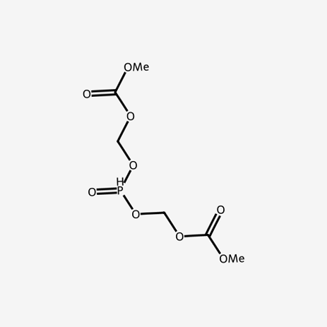 COC(=O)OCO[PH](=O)OCOC(=O)OC